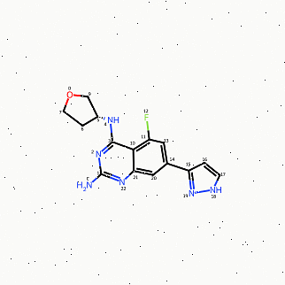 Nc1nc(N[C@@H]2CCOC2)c2c(F)cc(-c3cc[nH]n3)cc2n1